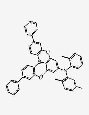 Cc1ccc(C)c(N(c2cc3c4c(c2)Oc2cc(-c5ccccc5)ccc2B4c2ccc(-c4ccccc4)cc2O3)c2ccccc2C)c1